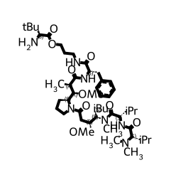 CC[C@H](C)[C@@H]([C@@H](CC(=O)N1CCC[C@H]1[C@H](OC)[C@@H](C)C(=O)N[C@@H](Cc1ccccc1)C(=O)NCCCOC(=O)[C@@H](N)C(C)(C)C)OC)N(C)C(=O)[C@@H](NC(=O)[C@H](C(C)C)N(C)C)C(C)C